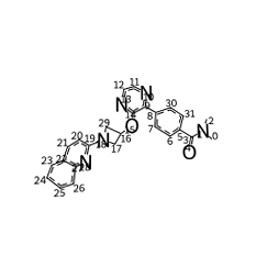 CN(C)C(=O)c1ccc(-c2nccnc2OC2CN(c3ccc4ccccc4n3)C2)cc1